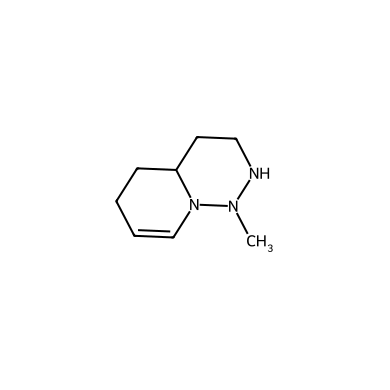 CN1NCCC2CCC=CN21